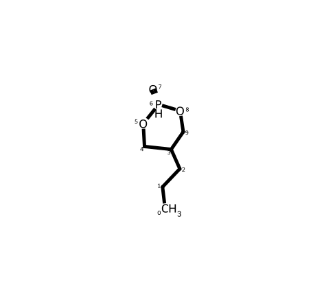 CCCC1CO[PH](=O)OC1